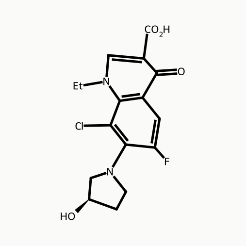 CCn1cc(C(=O)O)c(=O)c2cc(F)c(N3CC[C@@H](O)C3)c(Cl)c21